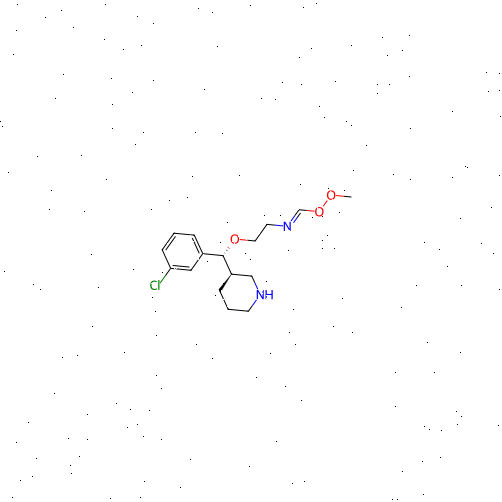 COO/C=N/CCO[C@@H](c1cccc(Cl)c1)[C@@H]1CCCNC1